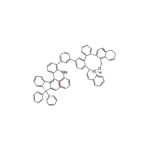 C1=Cc2c(ccc3c2CO[C@H]2c4ccccc4C=CC2c2ccc(-c4cccc(-c5cccc(-c6cccc7c6-c6ccccc6C7(c6ccccc6)c6ccccc6)c5Nc5ccccc5)c4)cc2-c2ccccc2-3)CC1